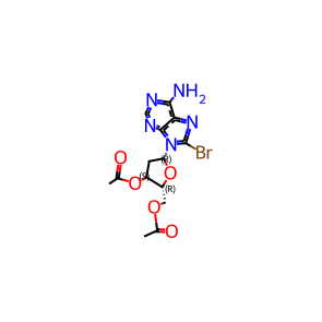 CC(=O)OC[C@H]1O[C@@H](n2c(Br)nc3c(N)ncnc32)C[C@@H]1OC(C)=O